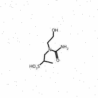 CC(CN(CCO)C(N)=O)S(=O)(=O)O